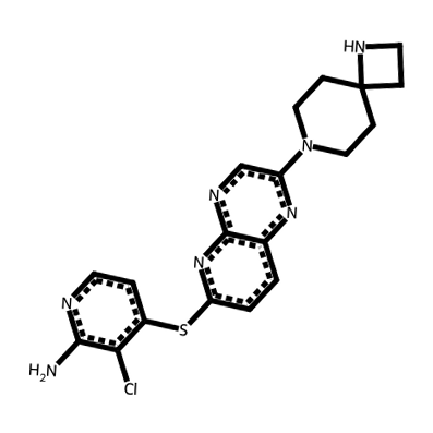 Nc1nccc(Sc2ccc3nc(N4CCC5(CCN5)CC4)cnc3n2)c1Cl